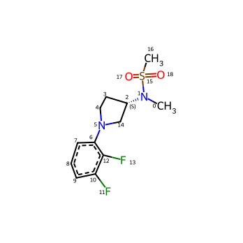 CN([C@H]1CCN(c2cccc(F)c2F)C1)S(C)(=O)=O